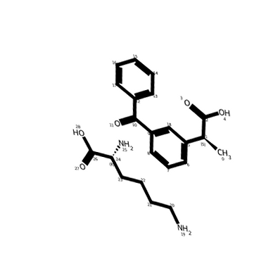 C[C@H](C(=O)O)c1cccc(C(=O)c2ccccc2)c1.NCCCC[C@@H](N)C(=O)O